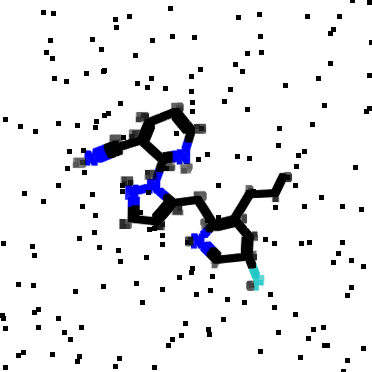 CCCc1cc(F)cnc1Cc1ccnn1-c1ncccc1C#N